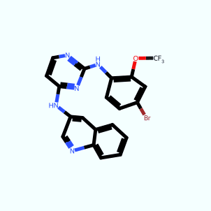 FC(F)(F)Oc1cc(Br)ccc1Nc1nccc(Nc2cnc3ccccc3c2)n1